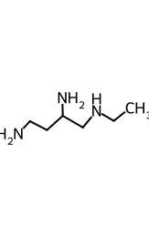 CCNCC(N)CCN